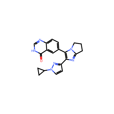 O=c1[nH]cnc2ccc(-c3c(-c4ccn(C5CC5)n4)nc4n3CCC4)cc12